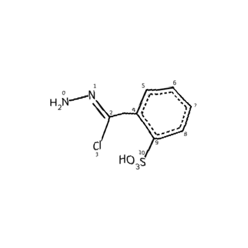 NN=C(Cl)c1ccccc1S(=O)(=O)O